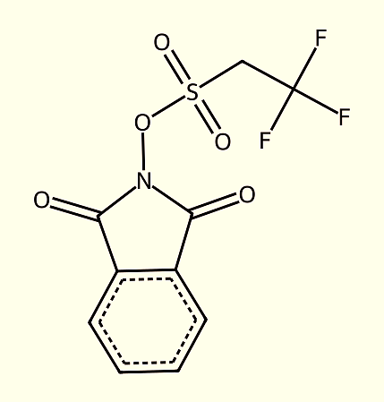 O=C1c2ccccc2C(=O)N1OS(=O)(=O)CC(F)(F)F